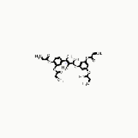 C=CC(=O)Oc1cc(OC(O)C=C)cc(OC(O)/C(C)=C(\C)c2ccc(OC(=O)C=C)c(OC(=O)C=C)c2)c1